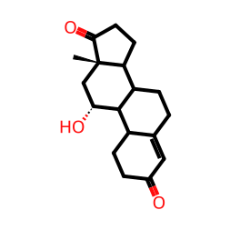 C[C@]12C[C@@H](O)C3C4CCC(=O)C=C4CCC3C1CCC2=O